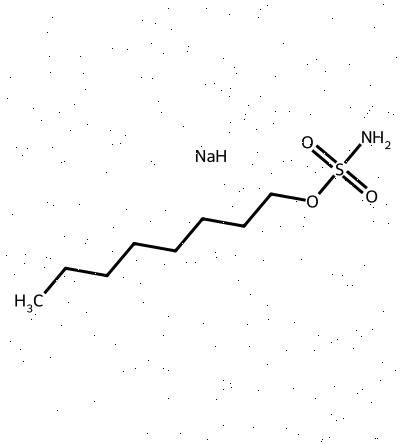 CCCCCCCCOS(N)(=O)=O.[NaH]